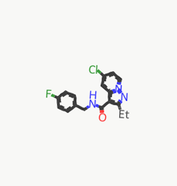 CCc1nn2ccc(Cl)cc2c1C(=O)NCc1ccc(F)cc1